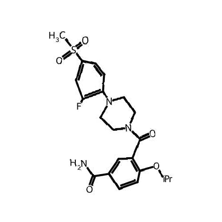 CC(C)Oc1ccc(C(N)=O)cc1C(=O)N1CCN(c2ccc(S(C)(=O)=O)cc2F)CC1